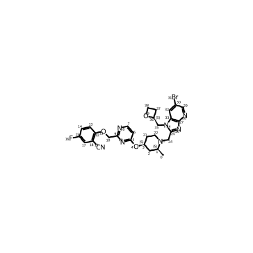 C[C@H]1C[C@@H](Oc2ccnc(COc3ccc(F)cc3C#N)n2)CCN1Cc1nc2ncc(Br)cc2n1C[C@@H]1CCO1